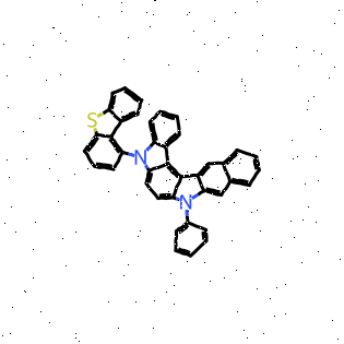 c1ccc(-n2c3cc4ccccc4cc3c3c4c5ccccc5n(-c5cccc6sc7ccccc7c56)c4ccc32)cc1